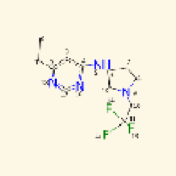 CCc1cc(NC2CCN(CC(F)(F)F)C2)ncn1